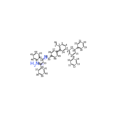 C=Cc1ccc(C2=CC(c3ccccc3)=CC(c3ccccc3)C2)cc1-c1ccc(C/N=C(\C=C(/N)c2ccccc2)c2ccccc2)cc1